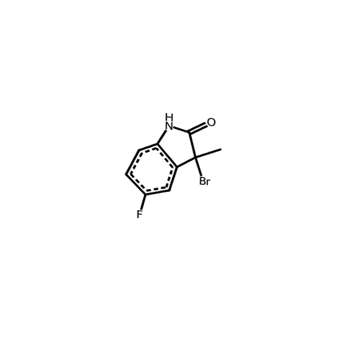 CC1(Br)C(=O)Nc2ccc(F)cc21